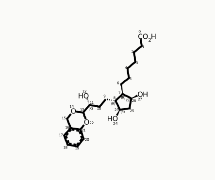 O=C(O)CCCCCC[C@@H]1[C@@H](CC[C@@H](O)C2OCc3ccccc3O2)[C@H](O)C[C@@H]1O